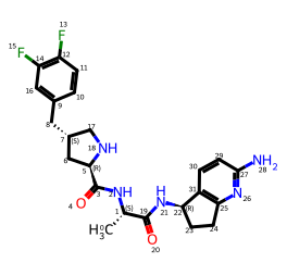 C[C@H](NC(=O)[C@H]1C[C@H](Cc2ccc(F)c(F)c2)CN1)C(=O)N[C@@H]1CCc2nc(N)ccc21